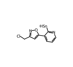 ClCc1cc(-c2cccn[c]2[SnH])on1